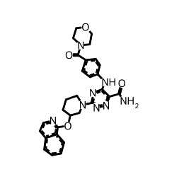 NC(=O)c1nnc(N2CCCC(Oc3nccc4ccccc34)C2)nc1Nc1ccc(C(=O)N2CCOCC2)cc1